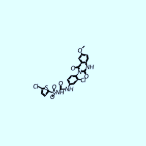 COc1ccc2[nH]c(=O)n(-c3ccc(NC(=O)NS(=O)(=O)c4ccc(Cl)s4)cc3Cl)c(=O)c2c1